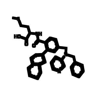 CSCCC(NC(=O)c1ccc(CN(Cc2ccccc2)c2cccnc2)cc1-c1ccc2ccccc2c1)C(=O)O